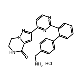 Cl.NCc1ccc(-c2ccccc2-c2nccc(-c3cc4n(n3)CCNC4=O)n2)cc1